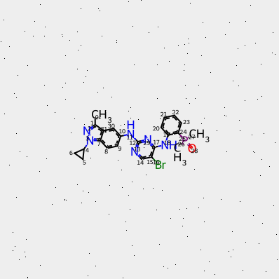 Cc1nn(C2CC2)c2ccc(Nc3ncc(Br)c(Nc4ccccc4P(C)(C)=O)n3)cc12